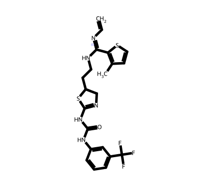 C=C/N=C(/NCCC1CN=C(NC(=O)Nc2cccc(C(F)(F)F)c2)S1)c1sccc1C